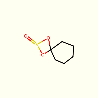 O=S1OC2(CCCCC2)O1